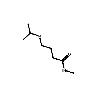 CNC(=O)CCCNC(C)C